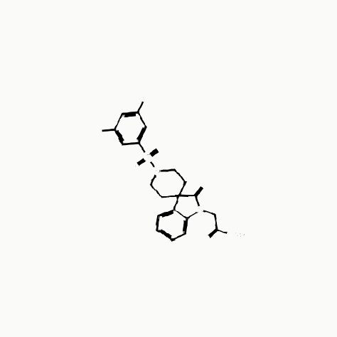 COC(=O)CN1C(=O)C2(CCN(S(=O)(=O)c3cc(C(F)(F)F)cc(C(F)(F)F)c3)CC2)c2ccccc21